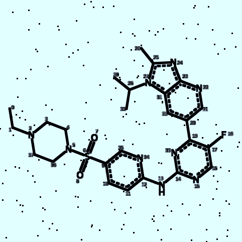 CCN1CCN(S(=O)(=O)c2ccc(Nc3ncc(F)c(-c4cnc5nc(C)n(C(C)C)c5c4)n3)nc2)CC1